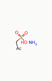 CC(=O)CS(=O)(=O)O.N